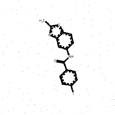 Cc1nc2cc(NC(=O)c3ccc(I)cc3)ccc2s1